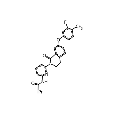 CC(C)C(=O)Nc1cccc(N2CCc3ccc(Oc4ccc(C(F)(F)F)c(F)c4)cc3C2=O)n1